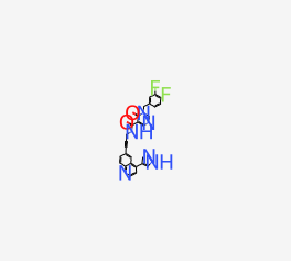 O=C(NCC#Cc1ccc2nccc(-c3cn[nH]c3)c2c1)c1cncn(Cc2ccc(F)c(F)c2)c1=O